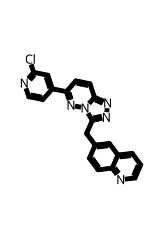 Clc1cc(-c2ccc3nnc(Cc4ccc5ncccc5c4)n3n2)ccn1